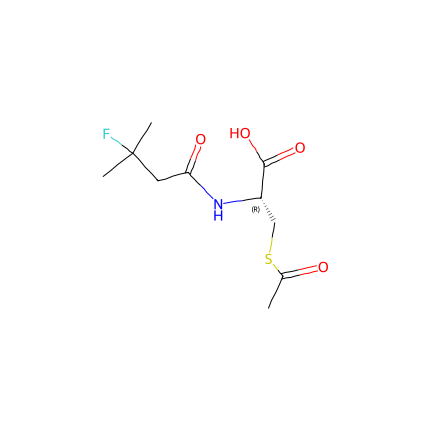 CC(=O)SC[C@H](NC(=O)CC(C)(C)F)C(=O)O